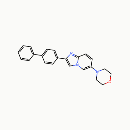 c1ccc(-c2ccc(-c3cn4cc(N5CCOCC5)ccc4n3)cc2)cc1